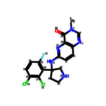 CC(C)n1cnc2ccc(NC3(c4c(F)ccc(Cl)c4Cl)CCNC3)nc2c1=O